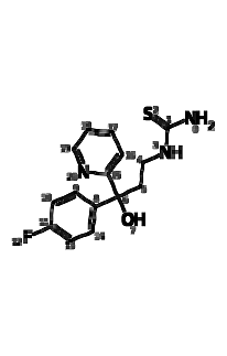 NC(=S)NCCC(O)(c1ccc(F)cc1)c1ccccn1